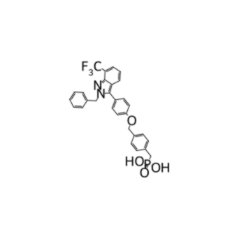 O=P(O)(O)Cc1ccc(COc2ccc(-c3c4cccc(C(F)(F)F)c4nn3Cc3ccccc3)cc2)cc1